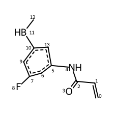 C=CC(=O)Nc1cc(F)cc(BC)c1